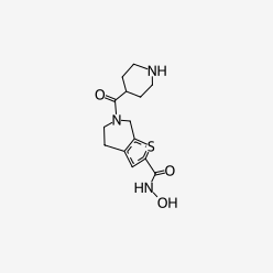 O=C(NO)c1cc2c(s1)CN(C(=O)C1CCNCC1)CC2